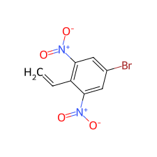 C=Cc1c([N+](=O)[O-])cc(Br)cc1[N+](=O)[O-]